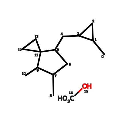 CC1CC1CC1CC(C)C(C)C12CC2.O=C(O)O